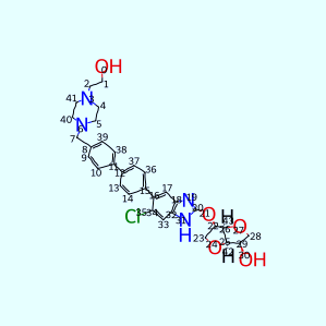 OCCN1CCN(Cc2ccc(-c3ccc(-c4cc5nc(O[C@@H]6CO[C@H]7[C@@H]6OC[C@H]7O)[nH]c5cc4Cl)cc3)cc2)CC1